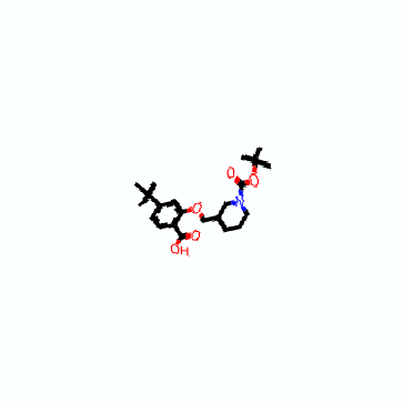 CC(C)(C)OC(=O)N1CCCC(COc2cc(C(C)(C)C)ccc2C(=O)O)C1